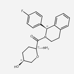 N[C@@]1(C(=O)N2CCc3ccccc3[C@@H]2c2ccc(F)cc2)CC[C@H](O)CO1